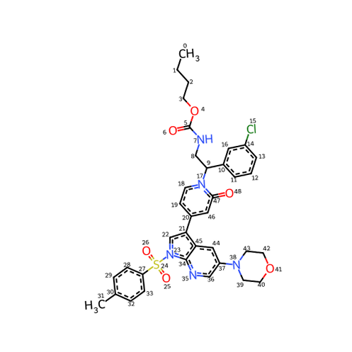 CCCCOC(=O)NCC(c1cccc(Cl)c1)n1ccc(-c2cn(S(=O)(=O)c3ccc(C)cc3)c3ncc(N4CCOCC4)cc23)cc1=O